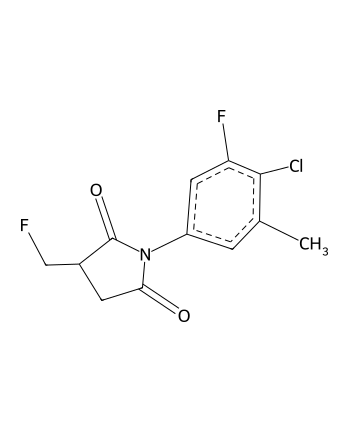 Cc1cc(N2C(=O)CC(CF)C2=O)cc(F)c1Cl